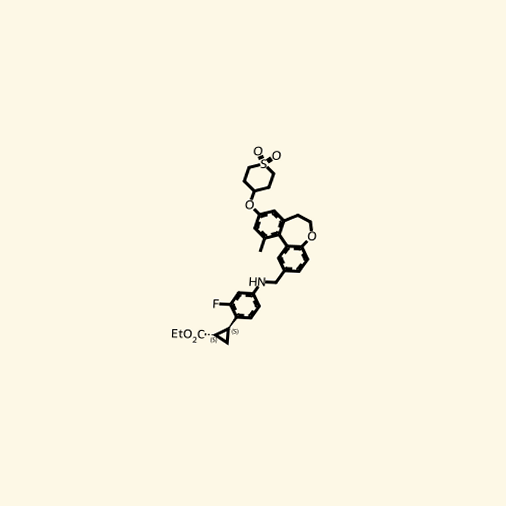 CCOC(=O)[C@H]1C[C@@H]1c1ccc(NCc2ccc3c(c2)-c2c(C)cc(OC4CCS(=O)(=O)CC4)cc2CCO3)cc1F